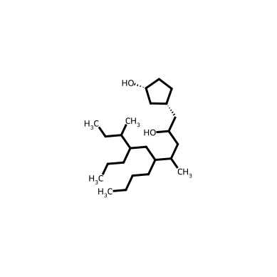 CCCCC(CC(CCC)C(C)CC)C(C)CC(O)C[C@H]1CC[C@@H](O)C1